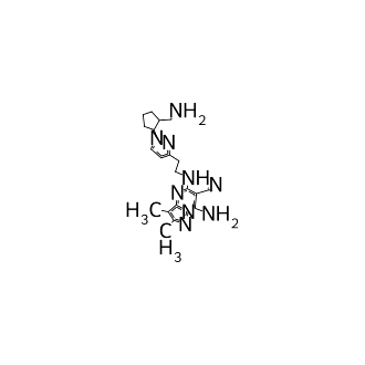 Cc1nn2c(N)c(C#N)c(NCCc3ccn(C4CCCC4CN)n3)nc2c1C